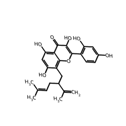 C=C(C)C(CC=C(C)C)Cc1c(O)cc(O)c2c(=O)c(O)c(-c3ccc(O)cc3O)oc12